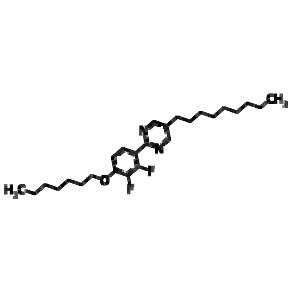 CCCCCCCCCc1cnc(-c2ccc(OCCCCCCC)c(F)c2F)nc1